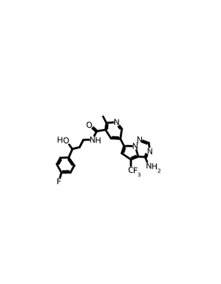 Cc1ncc(-c2cc(C(F)(F)F)c3c(N)ncnn23)cc1C(=O)NCCC(O)c1ccc(F)cc1